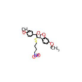 COc1ccc(C2=C(SCCCC[N+](=O)[O-])C3c4ccc(OC)cc4OC3O2)cc1